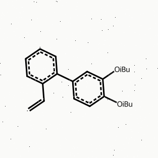 [CH]=Cc1cc[c]cc1-c1ccc(OCC(C)C)c(OCC(C)C)c1